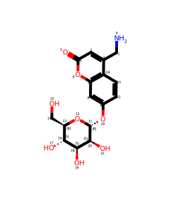 NCc1cc(=O)oc2cc(O[C@H]3O[C@H](CO)[C@@H](O)[C@H](O)[C@@H]3O)ccc12